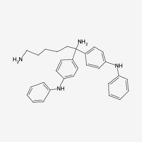 NCCCCCC(N)(c1ccc(Nc2ccccc2)cc1)c1ccc(Nc2ccccc2)cc1